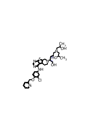 CC(O)CN(C/C=C/C(=C/O)N1CCc2c(sc3ncnc(Nc4ccc(OCc5ccccn5)c(Cl)c4)c23)C1)CC(C)O